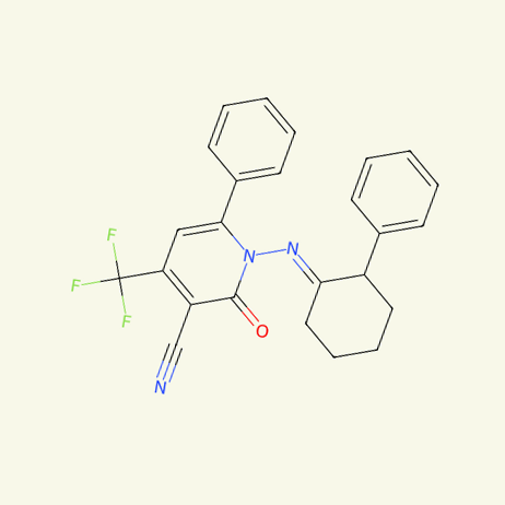 N#Cc1c(C(F)(F)F)cc(-c2ccccc2)n(/N=C2\CCCCC2c2ccccc2)c1=O